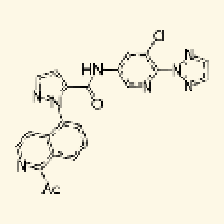 CC(=O)c1nccc2c(-n3nccc3C(=O)Nc3cnc(-n4nccn4)c(Cl)c3)cccc12